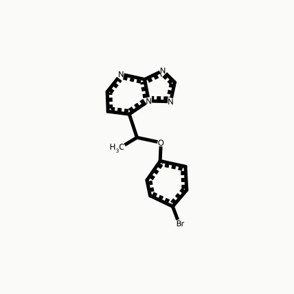 CC(Oc1ccc(Br)cc1)c1ccnc2ncnn12